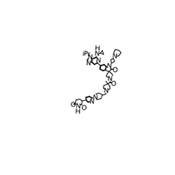 CC(C)n1cnc2cc(-c3ccc4c(c3)N(C3CC(N5CCCCC5)C3)C(=O)C43CCN(C(=O)C4(C)CCN(CC5CCN(c6ccc(C7CCC(=O)NC7=O)cn6)CC5)CC4)CC3)nc(NC3CC3)c21